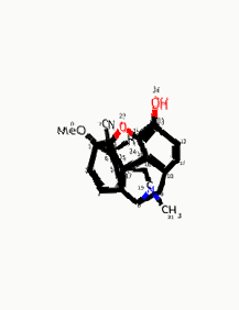 COC12C=CC3(C[C@H]1C#N)C1Cc4ccc(O)c5c4[C@@]3(CCN1C)[C@@H]2O5